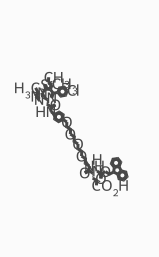 Cc1sc2c(c1C)C(c1ccc(Cl)cc1)=N[C@@H](CC(=O)Nc1ccc(OCCOCCOCCOCCNC(=O)[C@@H](CCC(=O)O)NC(=O)OCC3c4ccccc4-c4ccccc43)cc1)c1nnc(C)n1-2